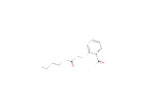 CCCCOC(=O)NOc1ccccc1C(=O)O